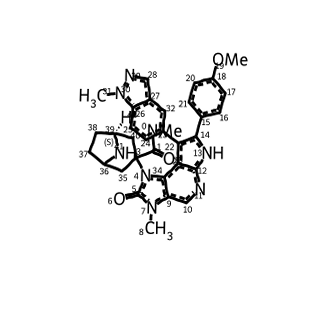 CNC(=O)C1(n2c(=O)n(C)c3cnc4[nH]c(-c5ccc(OC)cc5)c(-c5ccc6c(cnn6C)c5)c4c32)CC2CC[C@@H](C1)N2